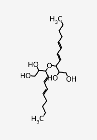 CCCCC=CC=CC(OC(C=CC=CCCCC)C(O)CO)C(O)CO